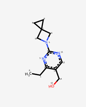 CCc1nc(N2CC3(CC3)C2)ncc1CO